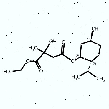 CCOC(=O)C(C)(O)CC(=O)O[C@H]1C[C@@H](C)CC[C@@H]1C(C)C